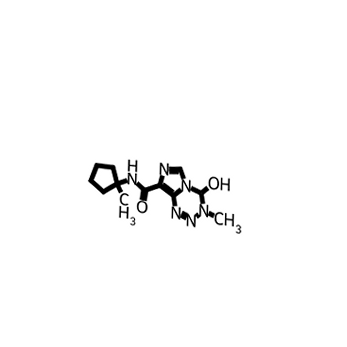 CN1N=Nc2c(C(=O)NC3(C)CCCC3)ncn2C1O